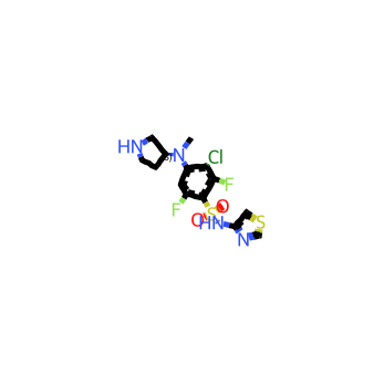 CN(c1cc(F)c(S(=O)(=O)Nc2cscn2)c(F)c1Cl)[C@H]1CCNC1